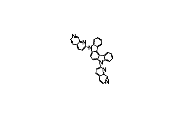 c1ccc2c(c1)c1c3c4ccccc4n(-c4ccc5ccncc5n4)c3ccc1n2-c1ccc2ccncc2n1